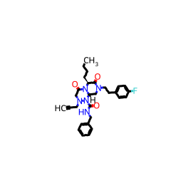 C#CCN1CC(=O)N2[C@@H](CCCC)C(=O)N(CCc3ccc(F)cc3)C[C@@H]2N1C(=O)NCc1ccccc1